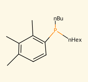 CCCCCCP(CCCC)c1ccc(C)c(C)c1C